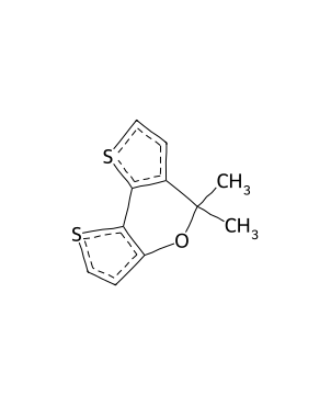 CC1(C)Oc2ccsc2-c2sccc21